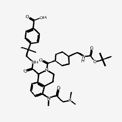 CN(C)CC(=O)N(C)c1cccc2c1CCN(C(=O)C1CCC(CNC(=O)OC(C)(C)C)CC1)C2C(=O)NCC(C)(C)c1ccc(C(=O)O)cc1